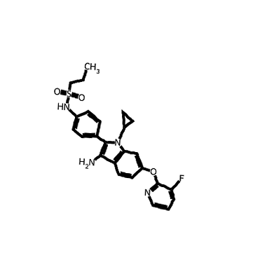 CCCS(=O)(=O)Nc1ccc(-c2c(N)c3ccc(Oc4ncccc4F)cc3n2C2CC2)cc1